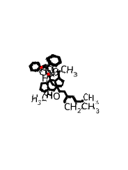 C=CC(CCC(C)C)CC(O)C12C[C@@H]3[C@H](C)CC[C@H]3C3(C4OCCO4)CC1C=C(C(C)C)[C@@]23C(=O)OC(c1ccccc1)c1ccccc1